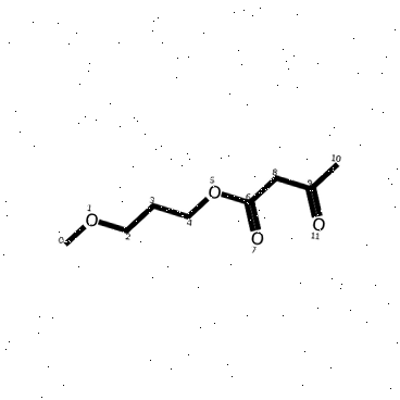 COCCCOC(=O)CC(C)=O